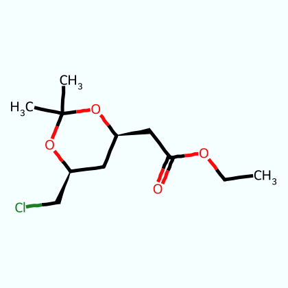 CCOC(=O)C[C@H]1C[C@@H](CCl)OC(C)(C)O1